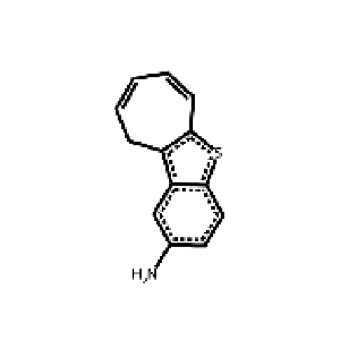 Nc1ccc2sc3c(c2c1)CC=CC=C3